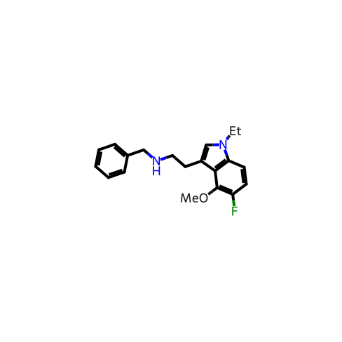 CCn1cc(CCNCc2ccccc2)c2c(OC)c(F)ccc21